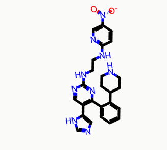 O=[N+]([O-])c1ccc(NCCNc2ncc(-c3cnc[nH]3)c(-c3ccccc3C3CCNCC3)n2)nc1